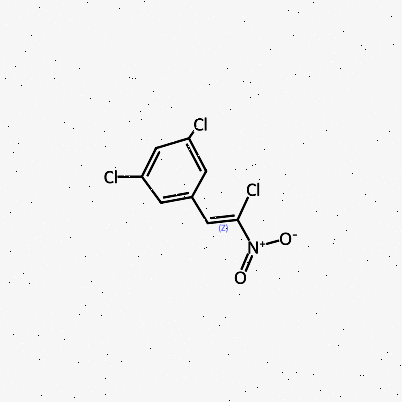 O=[N+]([O-])/C(Cl)=C/c1cc(Cl)cc(Cl)c1